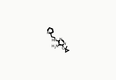 CC1(Oc2ncnc(NCCc3ccccn3)c2N)CC1